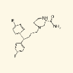 NC(=O)C1CN(CCCC(c2ccc(F)cc2)c2ccc(F)cc2)CCN1